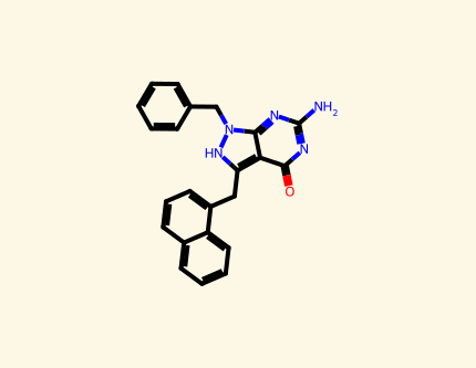 Nc1nc2n(Cc3ccccc3)[nH]c(Cc3cccc4ccccc34)c-2c(=O)n1